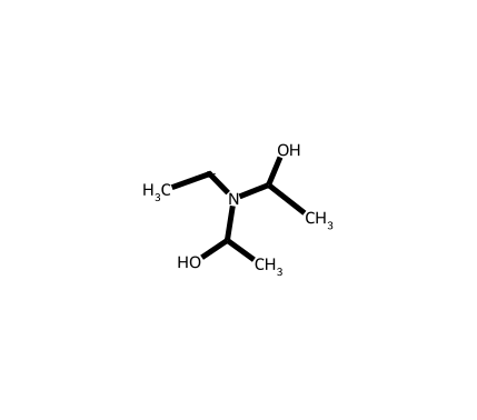 C[CH]N(C(C)O)C(C)O